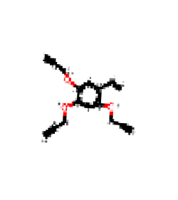 C#CCOc1cc(OCC#C)c(OCC#C)cc1C=C